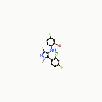 Cc1nn(C)c(-c2ccc(F)cc2Cl)c1Nc1ccc(F)cc1Br